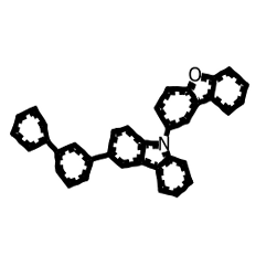 c1ccc(-c2cccc(-c3ccc4c(c3)c3ccccc3n4-c3ccc4oc5ccccc5c4c3)c2)cc1